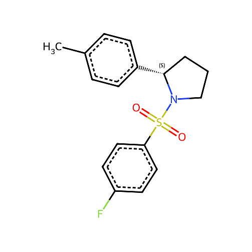 Cc1ccc([C@@H]2CCCN2S(=O)(=O)c2ccc(F)cc2)cc1